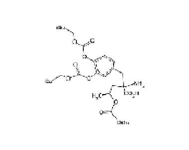 CCC(C)COC(=O)Oc1ccc(CC(N)(C[C@H](C)OC(=O)OCC(C)C)C(=O)O)cc1OC(=O)OCC(C)CC